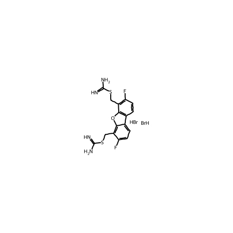 Br.Br.N=C(N)SCc1c(F)ccc2c1oc1c(CSC(=N)N)c(F)ccc12